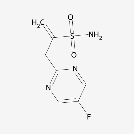 C=C(Cc1ncc(F)cn1)S(N)(=O)=O